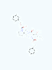 CC(O)C(NC(=O)OCc1ccccc1)C(=O)N1CC2(CCCN2C(=O)OCc2ccccc2)C1